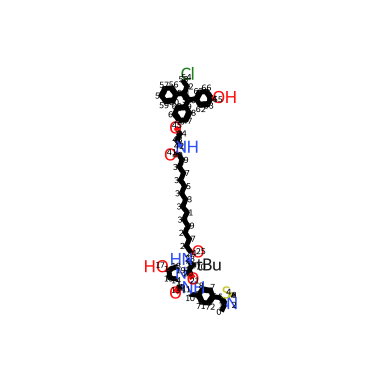 Cc1ncsc1-c1ccc(CNC(=O)[C@@H]2C[C@@H](O)CN2C(=O)C(NC(=O)CCCCCCCCCCCCCCC(=O)NCCOc2ccc(C(=C(CCCl)c3ccccc3)c3ccc(O)cc3)cc2)C(C)(C)C)cc1